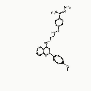 COc1ccc(-c2cc(NCCCNSc3ccc(/C(N)=N/N)cc3)c3ccccc3n2)cc1